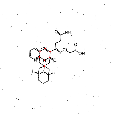 NC(=O)CC/C(=N\OCC(=O)O)c1nc2ccccc2n([C@H]2C[C@H]3CCC[C@@H](C2)N3C2C[C@H]3CCC[C@@H](C2)C3)c1=O